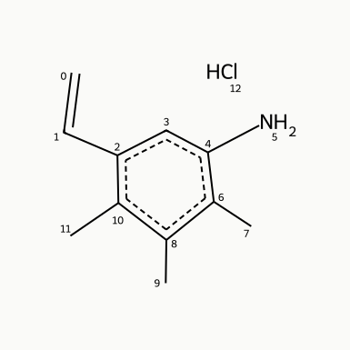 C=Cc1cc(N)c(C)c(C)c1C.Cl